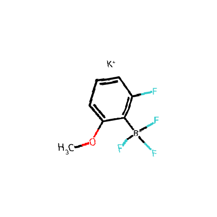 COc1cccc(F)c1[B-](F)(F)F.[K+]